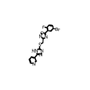 Fc1ccc(Br)cc1-c1nc(CSc2nnc(-c3cccnc3)[nH]2)no1